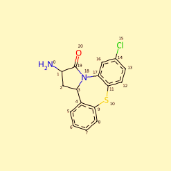 NC1CC2c3ccccc3Sc3ccc(Cl)cc3N2C1=O